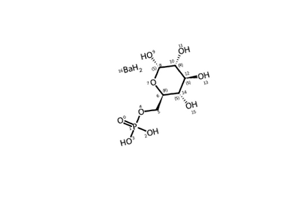 O=P(O)(O)OC[C@H]1O[C@H](O)[C@H](O)[C@@H](O)[C@@H]1O.[BaH2]